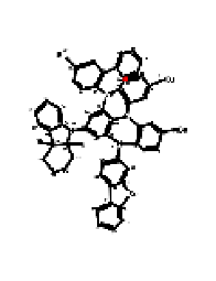 CC(C)(C)c1ccc2c(c1)B1c3cc(C(C)(C)C)ccc3N(c3ccc(C(C)(C)C)cc3-c3ccccc3)c3cc(N4c5ccccc5C5(C)CCCCC45C)cc(c31)N2c1ccc2c(c1)sc1ccccc12